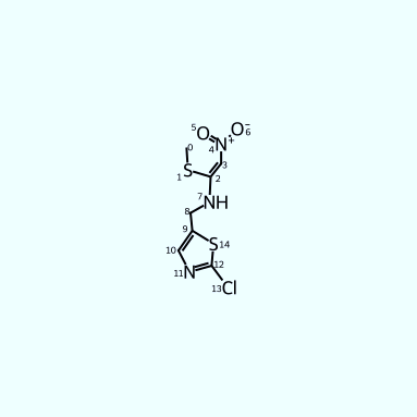 CSC(=C[N+](=O)[O-])NCc1cnc(Cl)s1